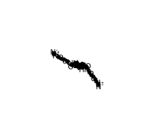 [N-]=[N+]=NCCOCCOCCNC(=O)c1ccc2c(c1)[CH]c1cc(C(=O)NCCOCCOCCN=[N+]=[N-])ccc1-2